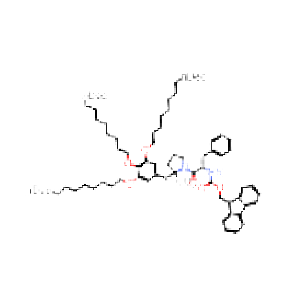 CCCCCCCCCCCCCCCCCCOc1cc(CC2(C(=O)O)CCCN2C(=O)C(Cc2ccccc2)NC(=O)OCC2c3ccccc3-c3ccccc32)cc(OCCCCCCCCCCCCCCCCCC)c1OCCCCCCCCCCCCCCCCCC